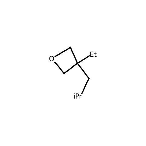 CCC1(CC(C)C)COC1